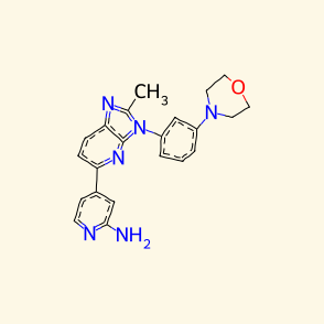 Cc1nc2ccc(-c3ccnc(N)c3)nc2n1-c1cccc(N2CCOCC2)c1